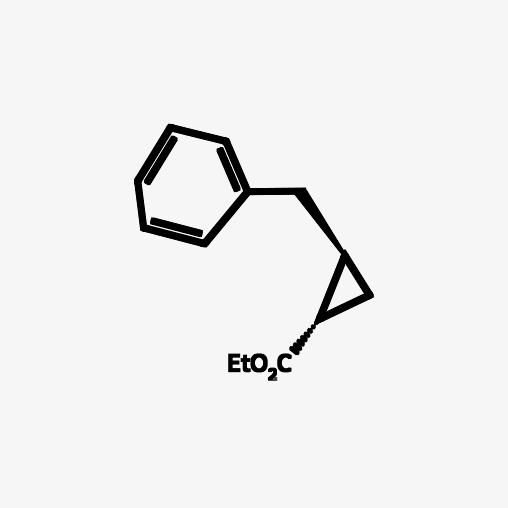 CCOC(=O)[C@H]1C[C@@H]1Cc1ccccc1